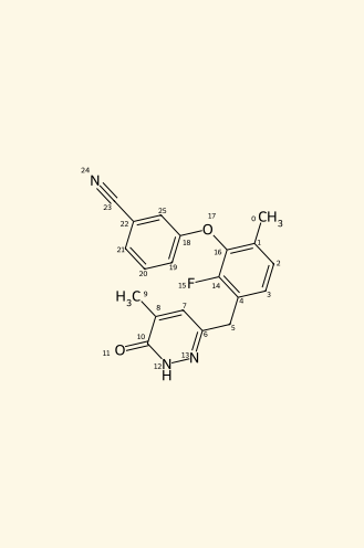 Cc1ccc(Cc2cc(C)c(=O)[nH]n2)c(F)c1Oc1cccc(C#N)c1